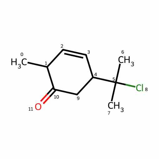 CC1C=CC(C(C)(C)Cl)CC1=O